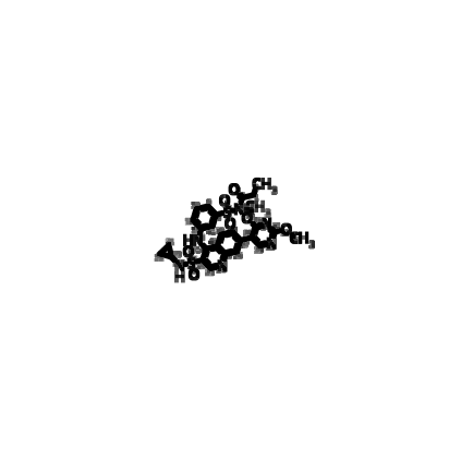 CCC(=O)NS(=O)(=O)c1cccc(Nc2c(S(=O)(=O)NC3CC3)cnc3cc(-c4cnc(OC)nc4OC)ccc23)c1